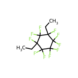 CCC1(F)C(F)(F)C(F)(F)C(F)(F)C(F)(CC)C1(F)F